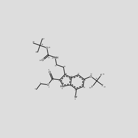 CCOC(=O)c1[nH]c2c(Br)cc(OC(F)(F)F)cc2c1CCNC(=O)OC(C)(C)C